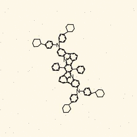 c1ccc(-c2c3c4cccc5c6cc(N(c7ccc(C8CCCCC8)cc7)c7ccc(C8CCCCC8)cc7)ccc6n(c3c(-c3ccccc3)c3c6cccc7c8cc(N(c9ccc(C%10CCCCC%10)cc9)c9ccc(C%10CCCCC%10)cc9)ccc8n(c23)c76)c54)cc1